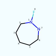 FN1CCCCC[N]1